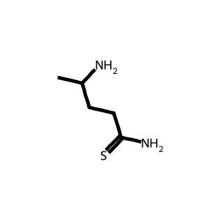 CC(N)CCC(N)=S